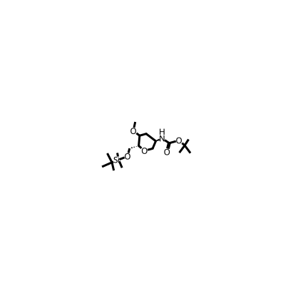 COC1C[C@@H](NC(=O)OC(C)(C)C)CO[C@@H]1CO[Si](C)(C)C(C)(C)C